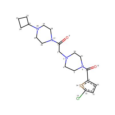 O=C(CN1CCN(C(=O)c2ccc(Cl)s2)CC1)N1CCN(C2CCC2)CC1